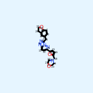 c1cc2c(cc1Cc1nnc3ccc(-c4ccc(CN5CCOCC5)o4)nn13)CCO2